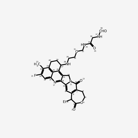 CCC1C(=O)OCCc2c1cc1n(c2=O)Cc2c-1nc1cc(F)c(C)c3c1c2C(NCCOCNC(=O)CNC=O)CC3